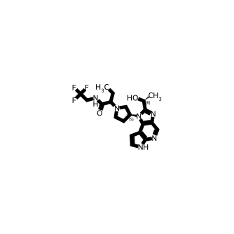 CCC(C(=O)NCC(F)(F)F)N1CC[C@H](n2c([C@@H](C)O)nc3cnc4[nH]ccc4c32)C1